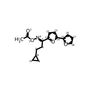 CC(=O)O/N=C(\CCC1CC1)c1ccc(-c2ccco2)o1